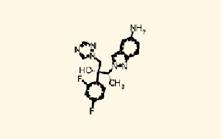 C[C@@H](n1cc2cc(N)ccc2n1)[C@](O)(Cn1cncn1)c1ccc(F)cc1F